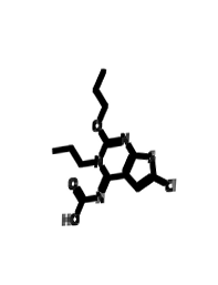 CCCOc1nc2sc(Cl)cc2c(=NC(=O)O)n1CCC